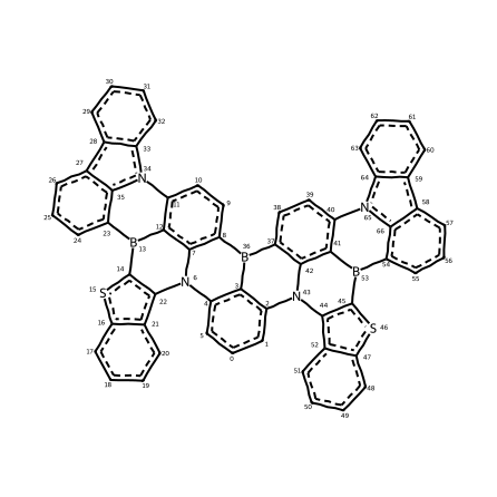 c1cc2c3c(c1)N1c4c(ccc5c4B(c4sc6ccccc6c41)c1cccc4c6ccccc6n-5c14)B3c1ccc3c4c1N2c1c(sc2ccccc12)B4c1cccc2c4ccccc4n-3c12